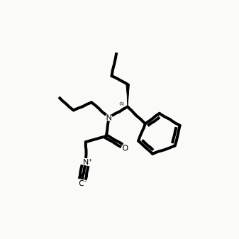 [C-]#[N+]CC(=O)N(CCC)[C@@H](CCC)c1ccccc1